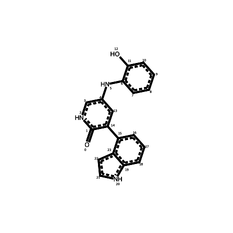 O=c1[nH]cc(Nc2ccccc2O)cc1-c1cccc2[nH]ccc12